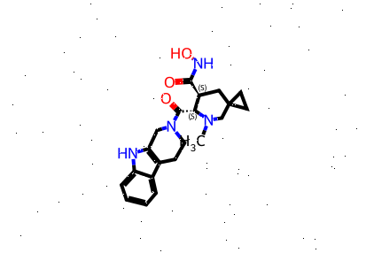 CN1CC2(CC2)C[C@H](C(=O)NO)[C@H]1C(=O)N1CCc2c([nH]c3ccccc23)C1